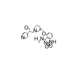 NC1=NS(=O)(=O)Nc2cccc(OC[C@H]3CCCN(CC(C=O)c4ccncc4)C3)c21